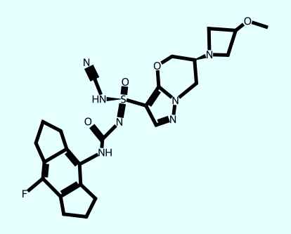 COC1CN([C@@H]2COc3c([S@@](=O)(=NC(=O)Nc4c5c(c(F)c6c4CCC6)CCC5)NC#N)cnn3C2)C1